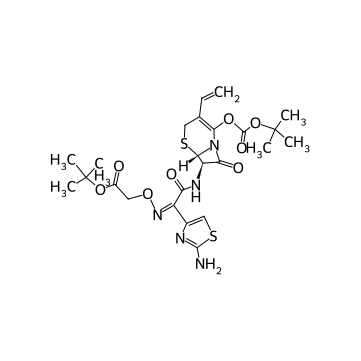 C=CC1=C(OC(=O)OC(C)(C)C)N2C(=O)[C@@H](NC(=O)/C(=N\OCC(=O)OC(C)(C)C)c3csc(N)n3)[C@@H]2SC1